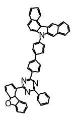 C1=CC2Oc3ccccc3C2C(c2nc(-c3ccccc3)nc(-c3ccc(-c4ccc(-n5c6cc7ccccc7cc6c6c7ccccc7ccc65)cc4)cc3)n2)=C1